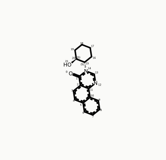 O=c1c2ccc3ccccc3c2ncn1[C@H]1CCCC[C@@H]1O